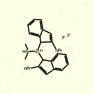 CCCC1=Cc2ccccc2[CH]1[Zr+2]([CH]1C(CCC)=Cc2ccccc21)[SiH](C)C.[F-].[F-]